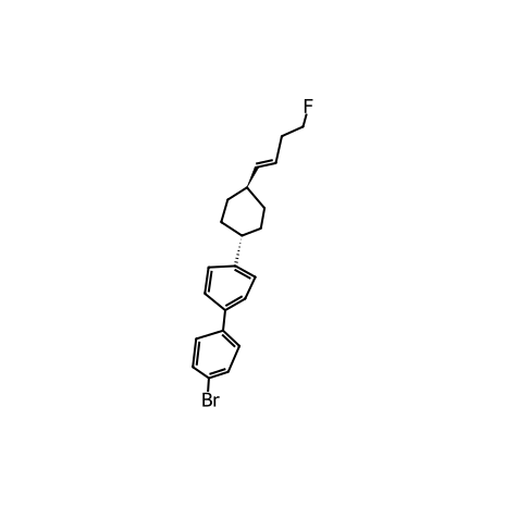 FCCC=C[C@H]1CC[C@H](c2ccc(-c3ccc(Br)cc3)cc2)CC1